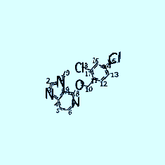 Cn1cnc2ccnc(OCc3ccc(Cl)cc3Cl)c21